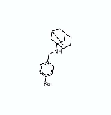 CC(C)(C)c1ccc(CNC23CC4CC(CC(C4)C2)C3)cc1